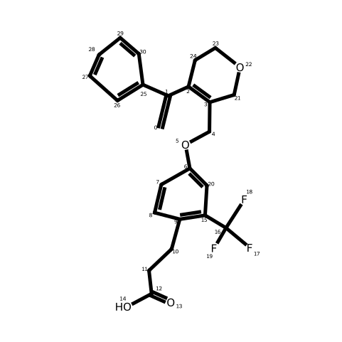 C=C(C1=C(COc2ccc(CCC(=O)O)c(C(F)(F)F)c2)COCC1)c1ccccc1